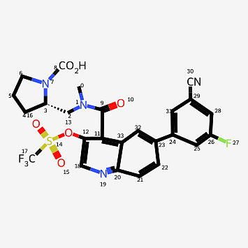 CN(C[C@@H]1CCCN1C(=O)O)C(=O)c1c(OS(=O)(=O)C(F)(F)F)cnc2ccc(-c3cc(F)cc(C#N)c3)cc12